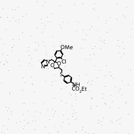 CCOC(=O)Nc1ccc(SCC2COC(Cn3ccnc3)(c3ccc(OC)cc3Cl)O2)cc1